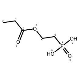 CCC(=O)OCCP(=O)(O)O